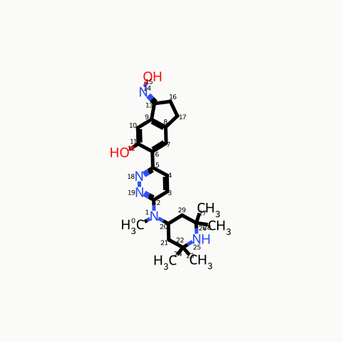 CN(c1ccc(-c2cc3c(cc2O)/C(=N/O)CC3)nn1)C1CC(C)(C)NC(C)(C)C1